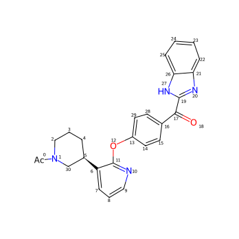 CC(=O)N1CCC[C@@H](c2cccnc2Oc2ccc(C(=O)c3nc4ccccc4[nH]3)cc2)C1